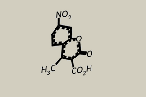 Cc1c(C(=O)O)c(=O)oc2cc([N+](=O)[O-])ccc12